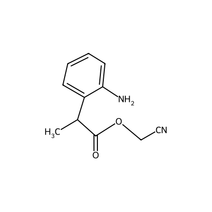 CC(C(=O)OCC#N)c1ccccc1N